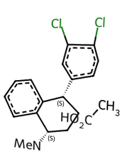 CC(=O)O.CN[C@H]1CC[C@@H](c2ccc(Cl)c(Cl)c2)c2ccccc21